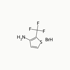 Br.Nc1ccsc1C(F)(F)F